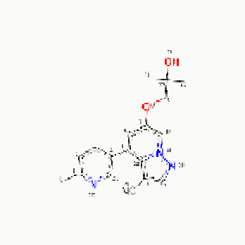 Cc1ccc(-c2cc(OCC(C)(C)O)cn3ncc(C#N)c23)cn1